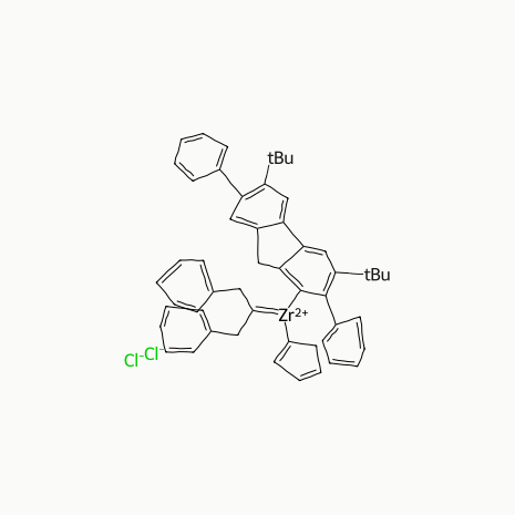 CC(C)(C)c1cc2c(cc1-c1ccccc1)Cc1c-2cc(C(C)(C)C)c(-c2ccccc2)[c]1[Zr+2]([C]1=CC=CC1)=[C](Cc1ccccc1)Cc1ccccc1.[Cl-].[Cl-]